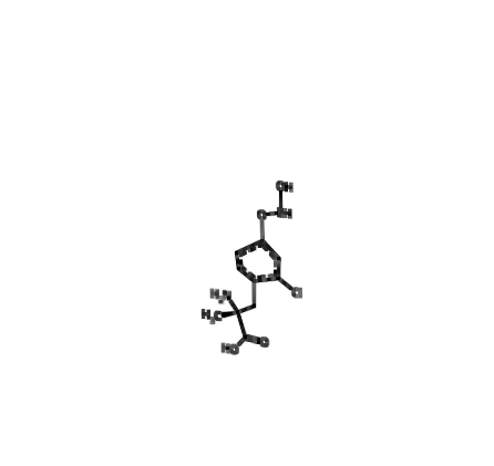 C[C@@](N)(Cc1ccc(OBO)cc1Cl)C(=O)O